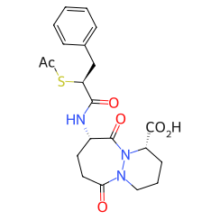 CC(=O)S[C@@H](Cc1ccccc1)C(=O)N[C@H]1CCC(=O)N2CCC[C@@H](C(=O)O)N2C1=O